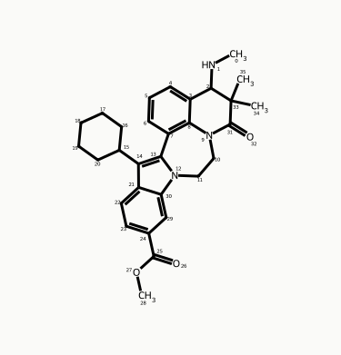 CNC1c2cccc3c2N(CCn2c-3c(C3CCCCC3)c3ccc(C(=O)OC)cc32)C(=O)C1(C)C